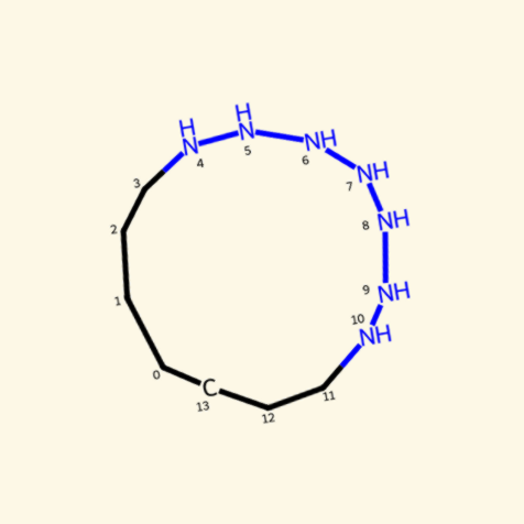 C1CCCNNNNNNNCCC1